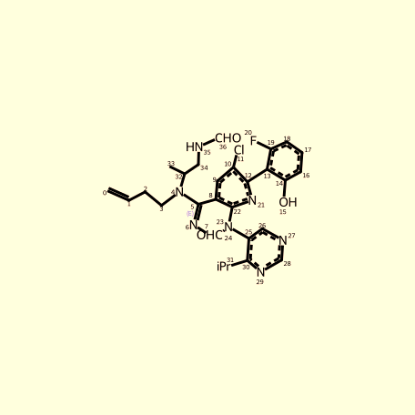 C=CCCN(/C(=N/C)c1cc(Cl)c(-c2c(O)cccc2F)nc1N(C=O)c1cncnc1C(C)C)C(C)CNC=O